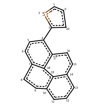 c1csc(-c2ccc3ccc4cccc5ccc2c3c45)c1